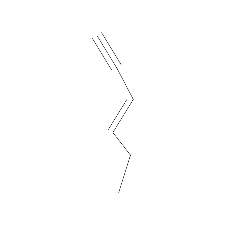 C#C/C=C/CC